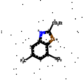 CCOC(=O)c1nc2cc(C(F)(F)F)cc([N+](=O)[O-])c2s1